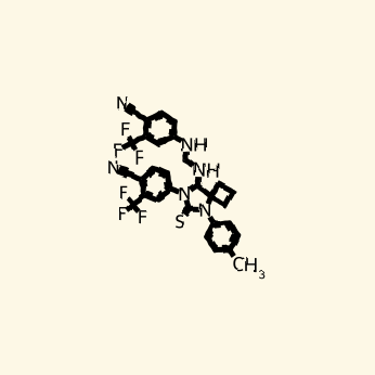 Cc1ccc(N2C(=S)N(c3ccc(C#N)c(C(F)(F)F)c3)C(NCNc3ccc(C#N)c(C(F)(F)F)c3)C23CCC3)cc1